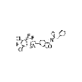 O=C(Cc1ccccc1)N1CC2(C1)OCc1cc(C3=NSC(c4cc(Cl)c(F)c(Cl)c4)(C(F)(F)F)C3)ccc12